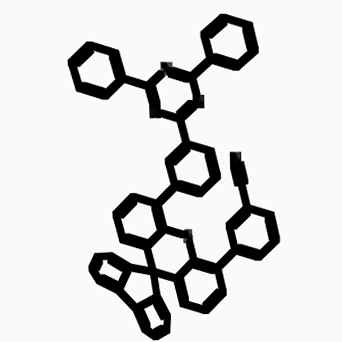 N#Cc1cccc(-c2cccc3c2Sc2c(-c4cccc(-c5nc(-c6ccccc6)nc(-c6ccccc6)n5)c4)cccc2C32c3ccccc3-c3ccccc32)c1